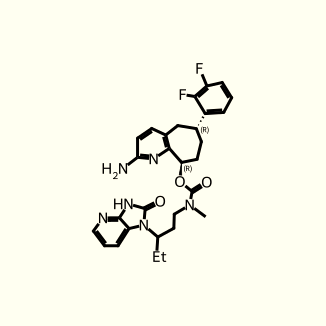 CCC(CCN(C)C(=O)O[C@@H]1CC[C@@H](c2cccc(F)c2F)Cc2ccc(N)nc21)n1c(=O)[nH]c2ncccc21